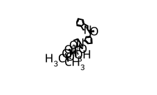 CC(C)(C)OC(=O)[C@H](O)[C@H]1OCCN(c2cccc(C(=O)N3Cc4ccccc4C3)c2)C1=O